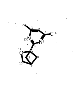 Cc1cc(Cl)nc(C23CC(CO2)C3)n1